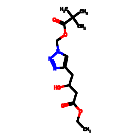 CCOC(=O)CC(O)Cc1cn(COC(=O)C(C)(C)C)nn1